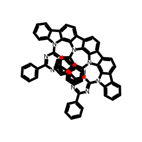 c1ccc(C2=NC(c3ccccc3)NC(n3c4ccccc4c4ccc5c6ccc7c8ccc9c%10ccccc%10n(-c%10nc(-c%11ccccc%11)nc(-c%11ccccc%11)n%10)c9c8n(-c8ccccc8)c7c6n(-c6ccccc6)c5c43)=N2)cc1